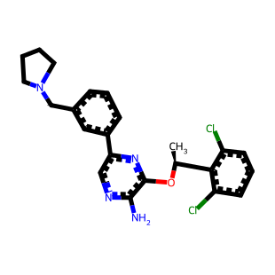 C[C@H](Oc1nc(-c2cccc([CH]N3CCCC3)c2)cnc1N)c1c(Cl)cccc1Cl